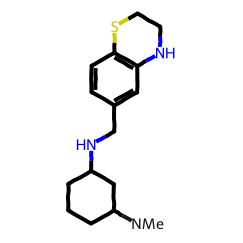 CNC1CCCC(NCc2ccc3c(c2)NCCS3)C1